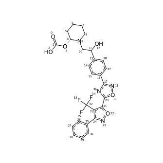 O=C(O)O[C@@H]1CCCCN1CC(O)c1ccc(-c2noc(-c3onc(-c4ccccc4)c3C(F)(F)F)n2)cc1